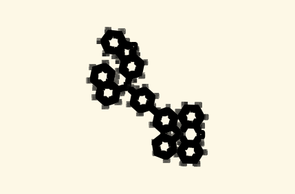 c1ccc([Si]2(c3ccc(-c4ccc(N(c5ccc6oc7ccccc7c6c5)c5cccc6ccccc56)cc4)cc3)c3ccccc3Oc3ccccc32)cc1